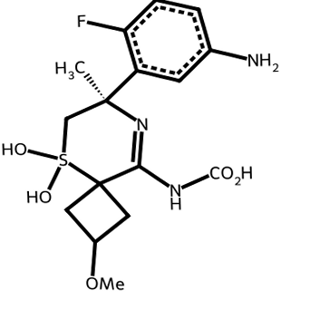 COC1CC2(C1)C(NC(=O)O)=N[C@](C)(c1cc(N)ccc1F)CS2(O)O